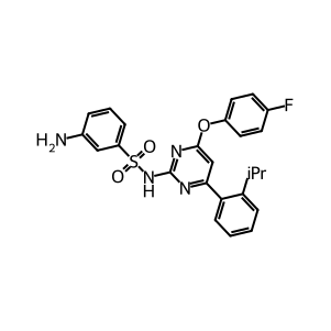 CC(C)c1ccccc1-c1cc(Oc2ccc(F)cc2)nc(NS(=O)(=O)c2cccc(N)c2)n1